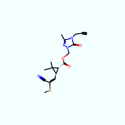 C#CCn1c(C)nn(COC(=O)[C@@H]2[C@@H](/C=C(\C#N)SC)C2(C)C)c1=O